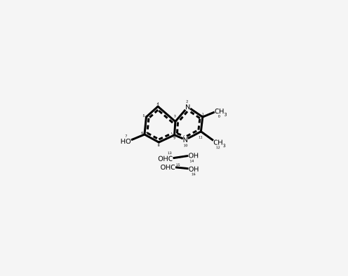 Cc1nc2ccc(O)cc2nc1C.O=CO.O=CO